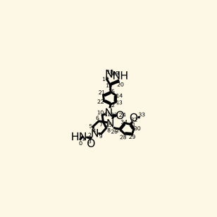 CNC(=O)N1CCC2(CC1)CN(c1ccc(-c3cn[nH]c3)cc1)C(=O)N2Cc1cccc(OC)c1